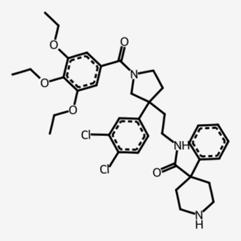 CCOc1cc(C(=O)N2CCC(CCNC(=O)C3(c4ccccc4)CCNCC3)(c3ccc(Cl)c(Cl)c3)C2)cc(OCC)c1OCC